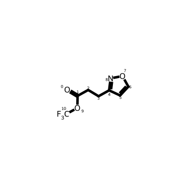 O=C(CCc1ccon1)OC(F)(F)F